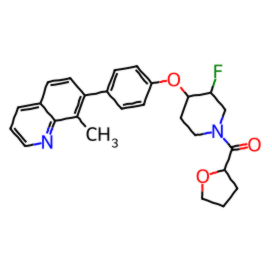 Cc1c(-c2ccc(OC3CCN(C(=O)C4CCCO4)CC3F)cc2)ccc2cccnc12